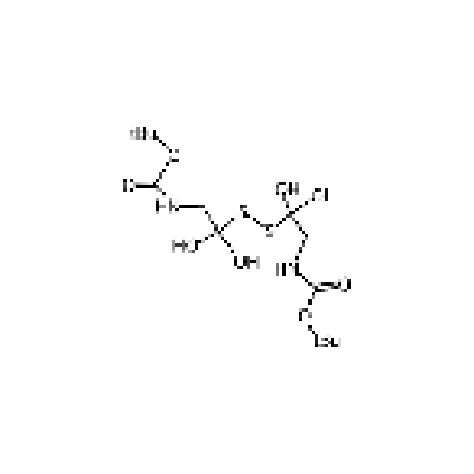 CC(C)(C)OC(=O)NCC(O)(O)SSC(O)(O)CNC(=O)OC(C)(C)C